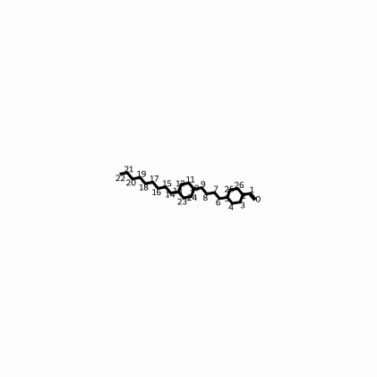 C=CC1CCC(CCCCC2CCC(CCCCCCCCC)CC2)CC1